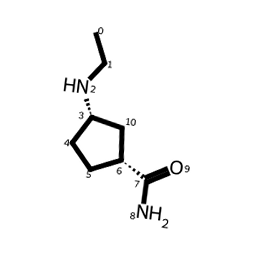 CCN[C@H]1CC[C@@H](C(N)=O)C1